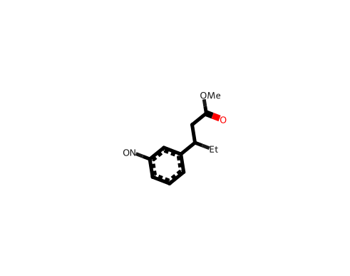 CCC(CC(=O)OC)c1cccc(N=O)c1